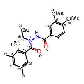 CCC[C@@H](N(NC(=O)c1ccc(OC)c(OC)c1)C(=O)c1cc(C)cc(C)c1)C(C)(C)C